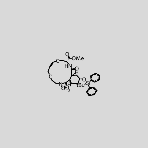 COC(=O)[C@H]1CCC=CCCCCN(C)C(=O)[C@@H]2CC[C@@H](O[Si](c3ccccc3)(c3ccccc3)C(C)(C)C)C[C@H]2C(=O)N1